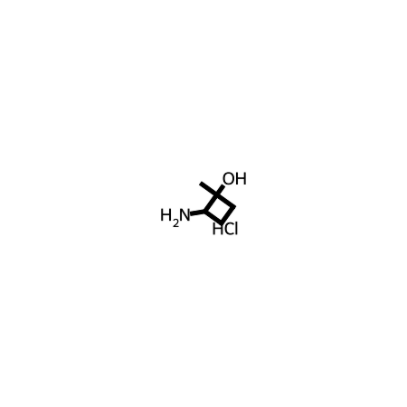 CC1(O)CCC1N.Cl